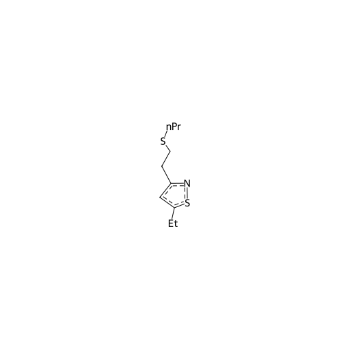 CCCSCCc1cc(CC)sn1